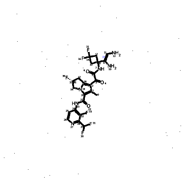 Cc1c(C(=O)C(=O)NC2(/C(N)=C/N)CC(F)(F)C2)c2n(c1C(=O)Nc1ccnc(C(F)F)c1F)C[C@H](F)C2